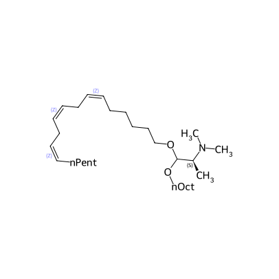 CCCCC/C=C\C/C=C\C/C=C\CCCCCOC(OCCCCCCCC)[C@H](C)N(C)C